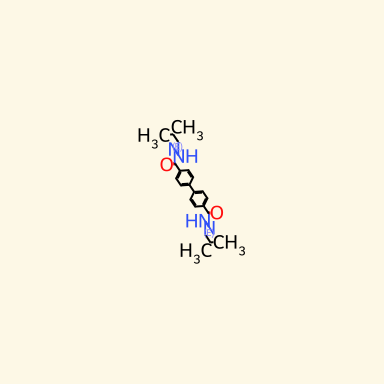 CC(C)/C=N/NC(=O)c1ccc(-c2ccc(C(=O)N/N=C/C(C)C)cc2)cc1